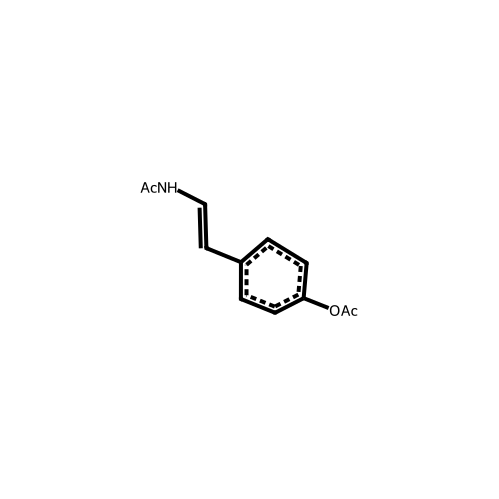 CC(=O)NC=Cc1ccc(OC(C)=O)cc1